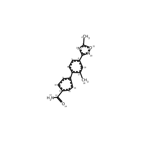 Cc1nc(-c2ccc(-c3ccc(C(N)=O)cc3)c(C)c2)no1